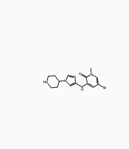 Cn1cc(Br)cc(Nc2cn(C3CCNCC3)cn2)c1=O